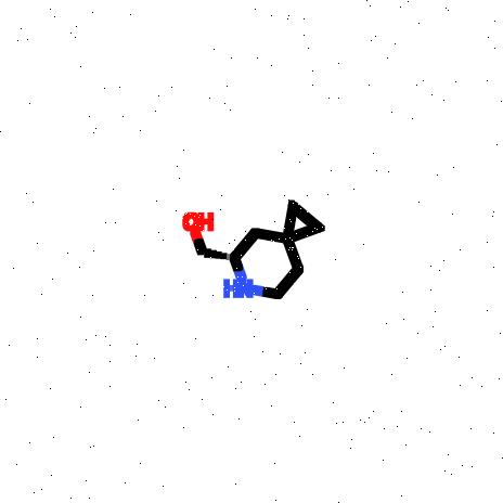 OC[C@@H]1CC2(CCN1)CC2